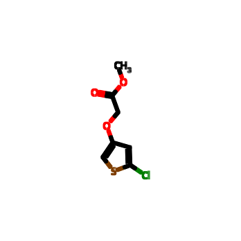 COC(=O)COc1csc(Cl)c1